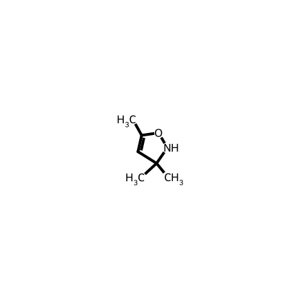 CC1=CC(C)(C)NO1